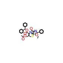 CCOC(=N[C@@H]1C(=O)N2C(C(=O)OC(c3ccccc3)c3ccccc3)=C(COC(C)=O)CS[C@H]12)c1ccccc1